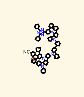 N#Cc1ccc(-c2c(-c3ccccc3)cc(-n3c4ccc(-n5c6ccccc6c6cc(-c7cccc(-n8c9ccccc9c9c8ccc8c%10ccccc%10n(-c%10ccc(-c%11nc(-c%12ccccc%12)nc(-c%12ccccc%12)n%11)cc%10-c%10ccccc%10)c89)c7)ccc65)cc4c4ccc5c(c6ccccc6n5-c5ccccc5)c43)cc2-c2ccccc2)c(C#N)c1